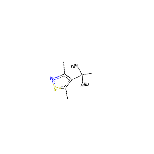 CCCCC(C)(CCC)c1c(C)nsc1C